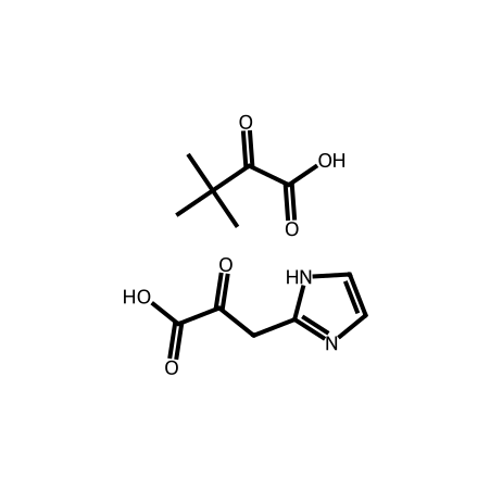 CC(C)(C)C(=O)C(=O)O.O=C(O)C(=O)Cc1ncc[nH]1